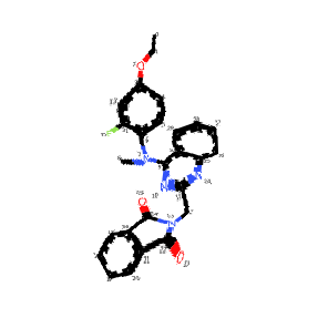 CCOc1ccc(N(C)c2nc(CN3C(=O)c4ccccc4C3=O)nc3ccccc23)c(F)c1